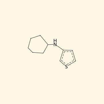 c1cc(NC2CCCCC2)cs1